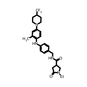 CCN1CC(C(=O)NCc2ccc(Nc3ccc(N4CCC(C(F)(F)F)CC4)cc3C)cc2)CC1=O